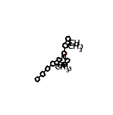 CC1(C)c2ccccc2-c2ccc(-c3ccc(N(c4ccc5c(c4)C(C)(C)c4cc(-c6ccc(-c7ccc(-c8ccccc8)cc7)cc6)ccc4-5)c4cccc5ccccc45)cc3)cc21